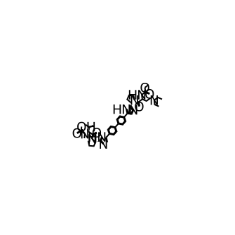 CCN(CC)CCC(NC(=O)OC)C(=O)N1CCC[C@H]1c1ncc(-c2ccc(-c3ccc(-c4cnc([C@@H]5CCCN5C(=O)[C@H](C(C)C)N(C)C(=O)O)[nH]4)cc3)cc2)[nH]1